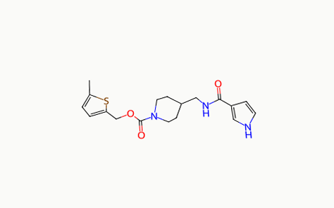 Cc1ccc(COC(=O)N2CCC(CNC(=O)c3cc[nH]c3)CC2)s1